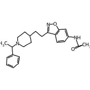 CC(=O)Nc1ccc2c(CCC3CCN(C(C)c4ccccc4)CC3)noc2c1